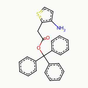 Nc1ccsc1CC(=O)OC(c1ccccc1)(c1ccccc1)c1ccccc1